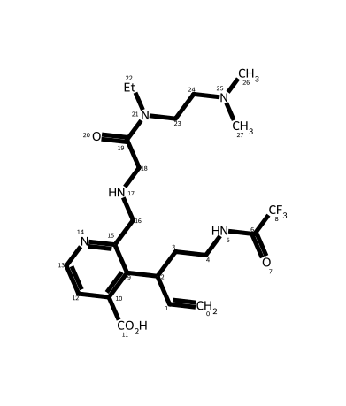 C=CC(CCNC(=O)C(F)(F)F)c1c(C(=O)O)ccnc1CNCC(=O)N(CC)CCN(C)C